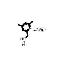 Cc1cc(C)nc(CO)c1.[Al+3].[H-].[H-].[H-].[H-].[Li+]